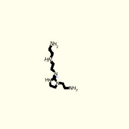 NCCNCC/N=C1\NCCN1CCN